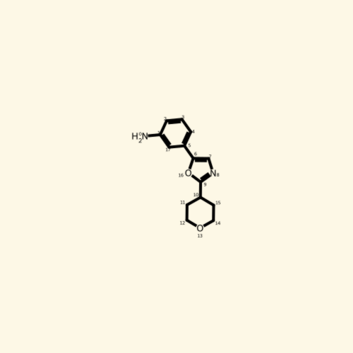 Nc1cccc(-c2cnc(C3CCOCC3)o2)c1